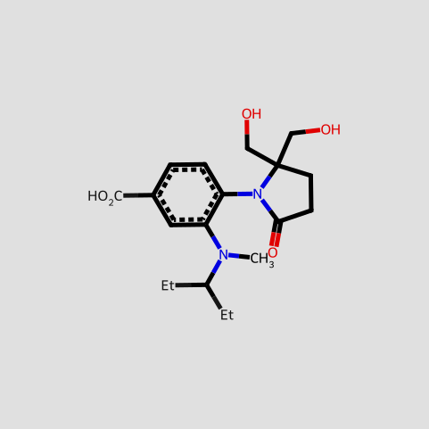 CCC(CC)N(C)c1cc(C(=O)O)ccc1N1C(=O)CCC1(CO)CO